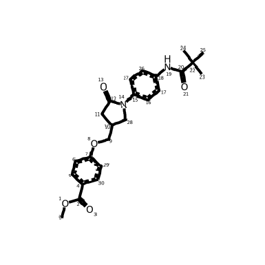 COC(=O)c1ccc(OCC2CC(=O)N(c3ccc(NC(=O)C(C)(C)C)cc3)C2)cc1